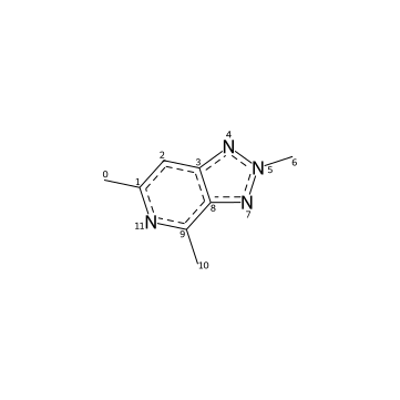 Cc1cc2nn(C)nc2c(C)n1